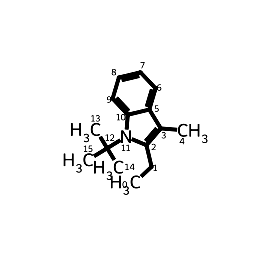 CCc1c(C)c2ccccc2n1C(C)(C)C